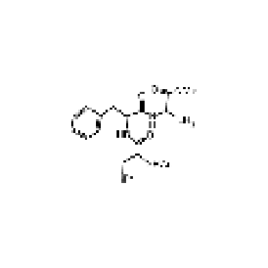 CNC(=O)C(C)NC(=O)C(Cc1ccccc1)NC(=O)C(CC(C)C)NC(C)=O